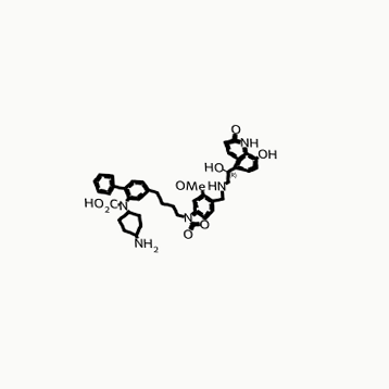 COc1cc2c(cc1CNC[C@H](O)c1ccc(O)c3[nH]c(=O)ccc13)oc(=O)n2CCCCc1ccc(-c2ccccc2)c(N(C(=O)O)C2CCC(N)CC2)c1